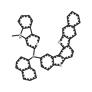 C[SiH]1c2ccccc2-c2ccc(N(c3ccc4sc5ccc6c7cc8ccccc8cc7oc6c5c4c3)c3cccc4ccccc34)cc21